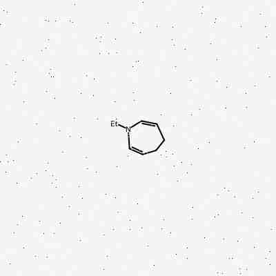 CCN1C=CCCC=C1